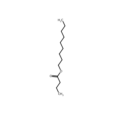 CCCCCCCCCOC(=O)CCC